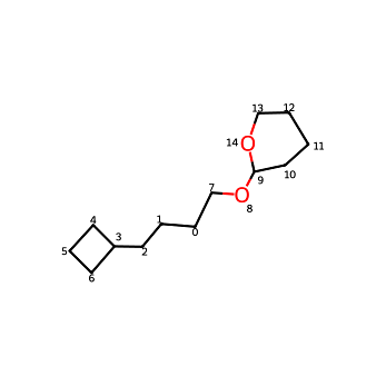 C(CCC1CCC1)COC1CCCCO1